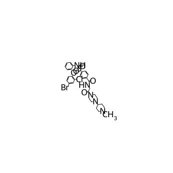 CN1CCC(N2CCN(C(=O)CNC(=O)c3ccc(S(=O)(=O)Nc4ccccc4Oc4ccc(Br)cc4Cl)cc3)CC2)CC1